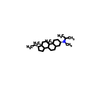 CC[C@H]1CCC2C3CCC4C[C@@H](N(C)C(C)C)CC[C@]4(C)C3CC[C@@]21C